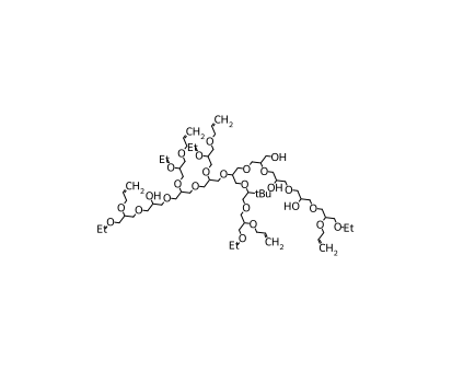 C=CCOCC(COC(COCC(O)COCC(COCC)OCC=C)COCC(COC(COCC(CO)OCC(O)COCC(O)COCC(COCC)OCC=C)COC(COCC(COCC)OCC=C)C(C)(C)C)OCC(COCC=C)OCC)OCC